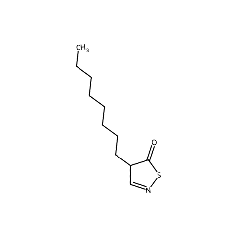 CCCCCCCCC1C=NSC1=O